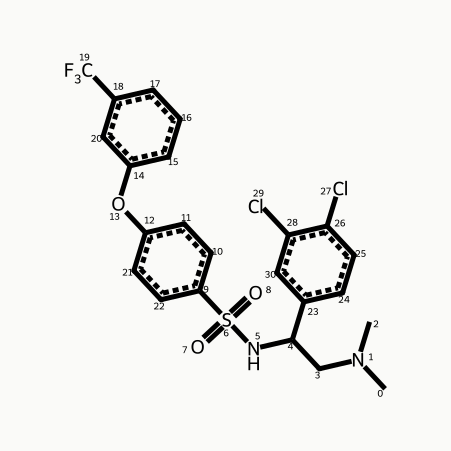 CN(C)CC(NS(=O)(=O)c1ccc(Oc2cccc(C(F)(F)F)c2)cc1)c1ccc(Cl)c(Cl)c1